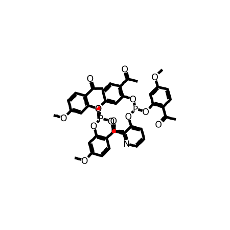 COc1ccc(C(C)=O)c(OP(OCc2ncccc2OP(Oc2cc(OC)ccc2C(C)=O)Oc2cc(OC)ccc2C(C)=O)Oc2cc(OC)ccc2C(C)=O)c1